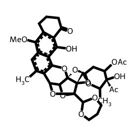 COc1c2c(c(O)c3c4c(c(C)cc13)C1OC3(C5OCCCO5)OC1[C@@](O[C@H]1CC(OC(C)=O)[C@@](O)(C(C)=O)C(C)O1)(O4)[C@@]31CO1)C(=O)CCC2